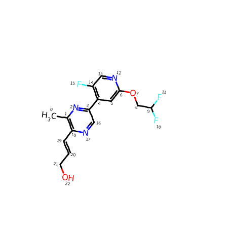 Cc1nc(-c2cc(OCC(F)F)ncc2F)cnc1C=CCO